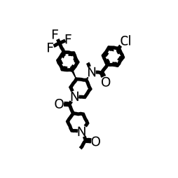 CC(=O)N1CCC(C(=O)N2CC[C@@H](N(C)C(=O)c3ccc(Cl)cc3)[C@H](c3ccc(C(F)(F)F)cc3)C2)CC1